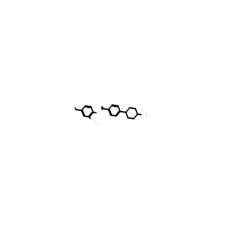 CCCCCCCCCC1CCC(c2ccc(C(=O)Oc3ccc(CC(C)C)cc3C#N)cc2)CC1